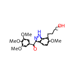 COc1cc(C(=O)c2n[nH]c3c(CCCCO)c(OC)ccc23)cc(OC)c1OC